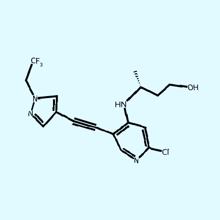 C[C@H](CCO)Nc1cc(Cl)ncc1C#Cc1cnn(CC(F)(F)F)c1